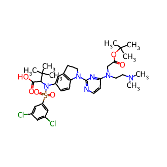 CN(C)CCN(CC(=O)OC(C)(C)C)c1ccnc(N2CCc3cc(N(C(C(=O)O)C(C)(C)C)S(=O)(=O)c4cc(Cl)cc(Cl)c4)ccc32)n1